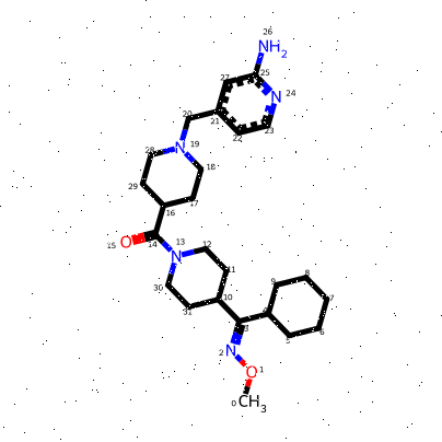 CO/N=C(\C1CCCCC1)C1CCN(C(=O)C2CCN(Cc3ccnc(N)c3)CC2)CC1